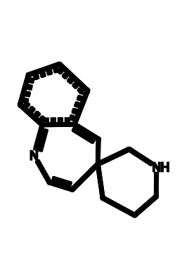 C1=CC2(C=c3ccccc3=N1)CCCNC2